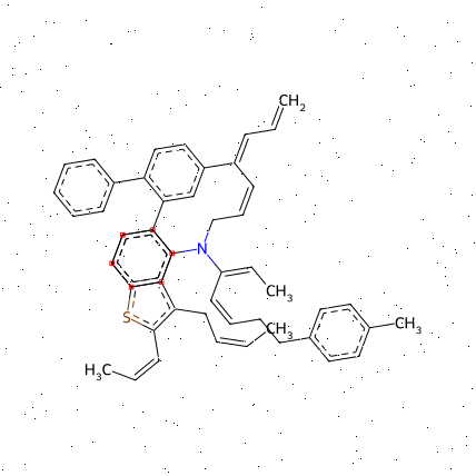 C=C/C=C(\C=C/CN(C(/C=C\CCc1ccc(C)cc1)=C/C)c1cccc2sc(/C=C\C)c(C/C=C\C)c12)c1ccc(-c2ccccc2)c(-c2ccccc2)c1